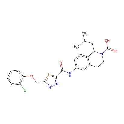 CC(C)CC1c2ccc(NC(=O)c3nnc(COc4ccccc4Cl)s3)cc2CCN1C(=O)O